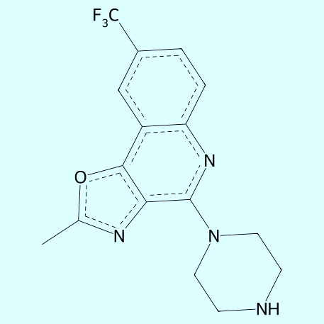 Cc1nc2c(N3CCNCC3)nc3ccc(C(F)(F)F)cc3c2o1